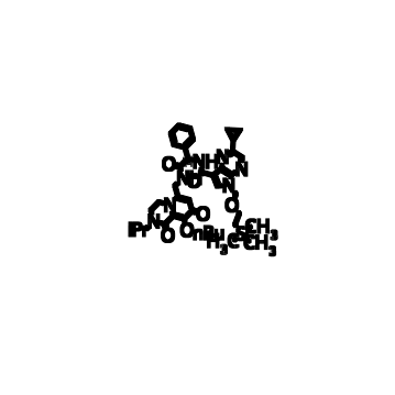 CCCCOc1c2n(c(CNC(=O)[C@H](NC(=O)c3cn(COCC[Si](C)(C)C)c4ncc(C5CC5)nc34)c3ccccc3)cc1=O)CCN(C(C)C)C2=O